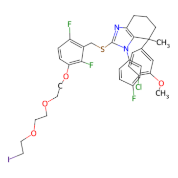 COc1cc(C2(C)CCCc3nc(SCc4c(F)ccc(OCCOCCOCCI)c4F)n(-c4ccc(F)cc4)c32)ccc1Cl